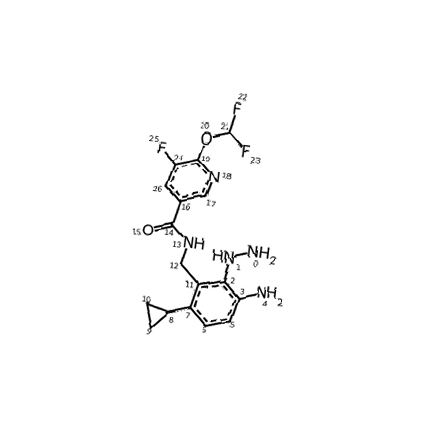 NNc1c(N)ccc(C2CC2)c1CNC(=O)c1cnc(OC(F)F)c(F)c1